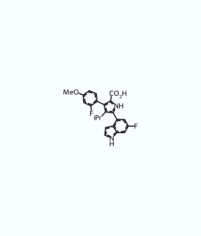 COc1ccc(-c2c(C(=O)O)[nH]c(-c3cc(F)cc4[nH]ccc34)c2C(C)C)c(F)c1